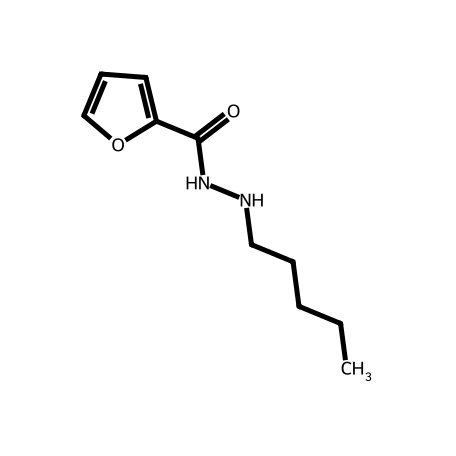 CCCCCNNC(=O)c1ccco1